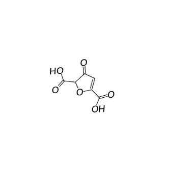 O=C(O)C1=CC(=O)C(C(=O)O)O1